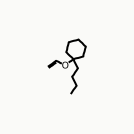 C=COC1(CCCC)CCCCC1